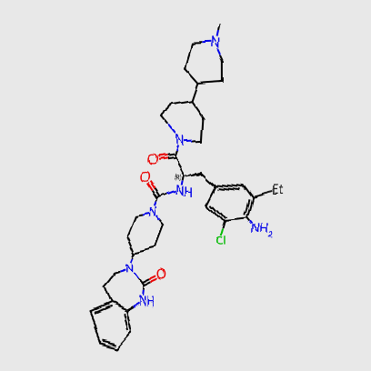 CCc1cc(C[C@@H](NC(=O)N2CCC(N3CCc4ccccc4NC3=O)CC2)C(=O)N2CCC(C3CCN(C)CC3)CC2)cc(Cl)c1N